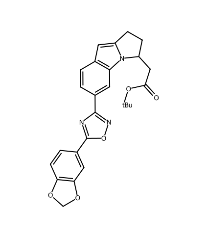 CC(C)(C)OC(=O)CC1CCc2cc3ccc(-c4noc(-c5ccc6c(c5)OCO6)n4)cc3n21